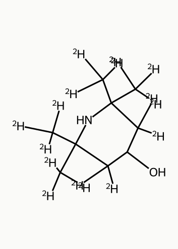 [2H]C([2H])([2H])C1(C([2H])([2H])[2H])NC(C([2H])([2H])[2H])(C([2H])([2H])[2H])C([2H])([2H])C(O)C1([2H])[2H]